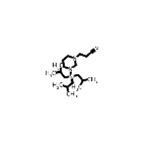 CC(C)C[Si](CC(C)C)(CC(C)C)N1CCCN(CCC#N)C1